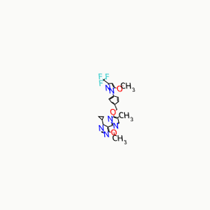 COc1ncnc(C2CC2)c1-c1ncc(C)c(OCc2ccc(-n3nc(C(F)(F)F)cc3OC)cc2)n1